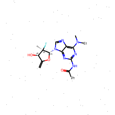 C=C1O[C@@H](n2cnc3c(N(C)CC)nc(NC(=O)C(C)C)nc32)[C@](C)(F)[C@@H]1O